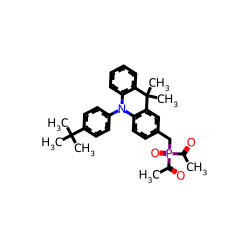 CC(=O)P(=O)(Cc1ccc2c(c1)C(C)(C)c1ccccc1N2c1ccc(C(C)(C)C)cc1)C(C)=O